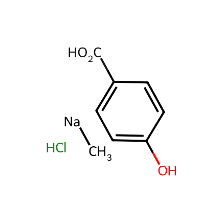 Cl.O=C(O)c1ccc(O)cc1.[CH3][Na]